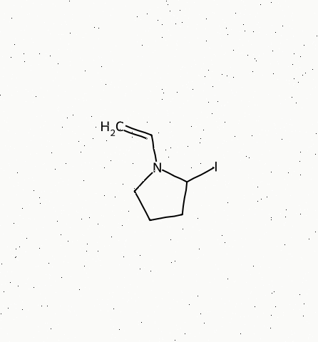 C=CN1CCCC1I